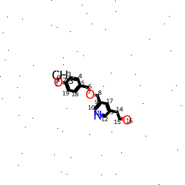 COc1ccc(COCc2cncc(CC=O)c2)cc1